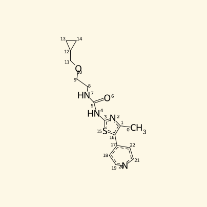 Cc1nc(NC(=O)NCCOCC2CC2)sc1-c1ccncc1